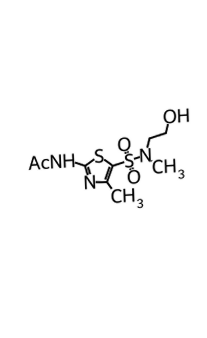 CC(=O)Nc1nc(C)c(S(=O)(=O)N(C)CCO)s1